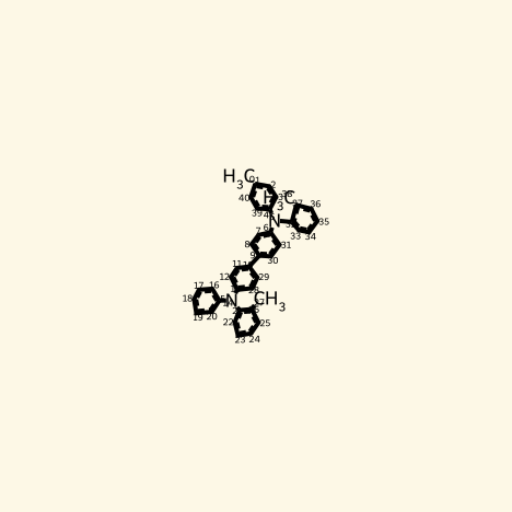 Cc1ccc(N(c2ccc(-c3ccc(N(c4ccccc4)c4ccccc4C)cc3)cc2)c2ccccc2C)cc1